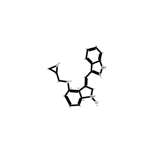 [O-][NH+]1CC(=Cc2n[nH]c3ccccc23)c2c(OCC3CO3)cccc21